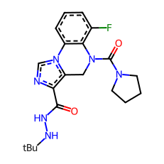 CC(C)(C)NNC(=O)c1ncn2c1CN(C(=O)N1CCCC1)c1c(F)cccc1-2